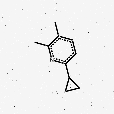 Cc1ccc(C2CC2)nc1C